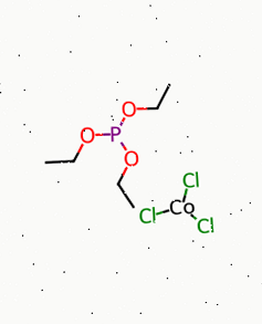 CCOP(OCC)OCC.[Cl][Co]([Cl])[Cl]